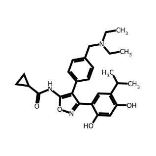 CCN(CC)Cc1ccc(-c2c(-c3cc(C(C)C)c(O)cc3O)noc2NC(=O)C2CC2)cc1